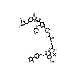 Cc1ncsc1-c1ccc(CNC(=O)[C@@H]2C[C@@H](O)CN2C(=O)[C@@H](NC(=O)CCCCNC(=O)CN2CCN(c3ccc(C(=O)Nc4n[nH]c5ccc(Cc6cc(F)cc(F)c6)cc45)c(NC4CCOCC4)c3)CC2)C(C)(C)C)cc1